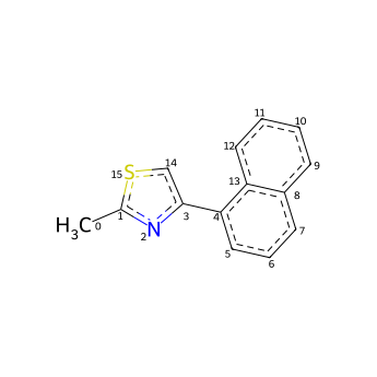 Cc1nc(-c2cccc3ccccc23)cs1